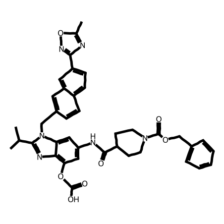 Cc1nc(-c2ccc3ccc(Cn4c(C(C)C)nc5c(OC(=O)O)cc(NC(=O)C6CCN(C(=O)OCc7ccccc7)CC6)cc54)cc3c2)no1